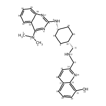 CN(C)c1nc(N[C@H]2CC[C@@H](CNCc3ccc4cccc(O)c4n3)CC2)nc2ccccc12